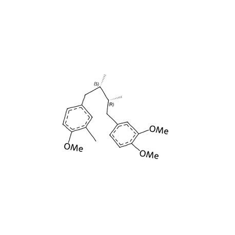 COc1ccc(C[C@H](C)[C@H](C)Cc2ccc(OC)c(OC)c2)cc1C